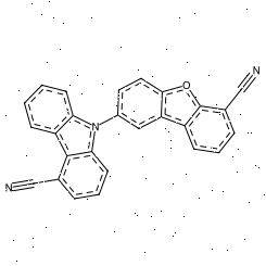 N#Cc1cccc2c1oc1ccc(-n3c4ccccc4c4c(C#N)cccc43)cc12